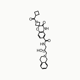 O=C(NC[C@H](O)CN1CCc2ccccc2C1)c1ccc2c(c1)NC(=O)C1(CN(C(=O)C3CCC3)C1)O2